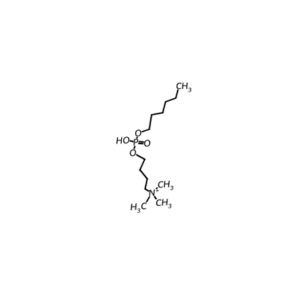 CCCCCCOP(=O)(O)OCCCC[N+](C)(C)C